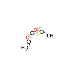 CCCc1cc(F)c(C(F)(F)Oc2ccc(C(F)(F)Oc3ccc(CC)cc3)cc2)c(F)c1